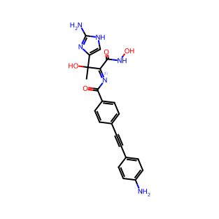 CC(O)(/C(=N\C(=O)c1ccc(C#Cc2ccc(N)cc2)cc1)C(=O)NO)c1c[nH]c(N)n1